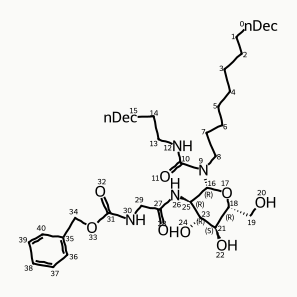 CCCCCCCCCCCCCCCCCCN(C(=O)NCCCCCCCCCCCC)[C@@H]1O[C@H](CO)[C@@H](O)[C@H](O)[C@H]1NC(=O)CNC(=O)OCc1ccccc1